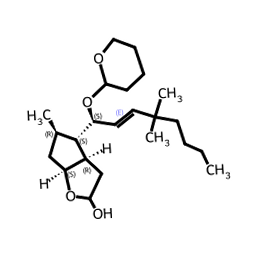 CCCCC(C)(C)/C=C/[C@H](OC1CCCCO1)[C@@H]1[C@H]2CC(O)O[C@H]2C[C@H]1C